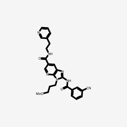 COCCCn1c(NC(=O)c2cccc(C#N)c2)nc2cc(C(=O)NCCc3cccnc3)cnc21